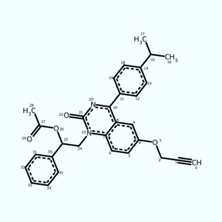 C#CCOc1ccc2c(c1)c(-c1ccc(C(C)C)cc1)nc(=O)n2CC(OC(C)=O)c1ccccc1